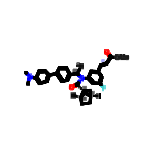 [2H][C@H](c1ccc(-c2ccc(N(C)C)cc2)cc1)N(C(=O)[C@@H]1C[C@H]2CC[C@@H]1C2)c1cc(F)cc(/C=C/C(=O)OC)c1